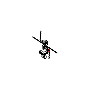 CCCCCCCCCCCCC(CCCCCCCCCC)Cc1cc(-c2cc3c(cc(-c4cc(CC(CCCCCCCCCC)CCCCCCCCCCCC)c(-c5ccc(-c6ccc(-c7cc(C(=O)OC)c(-c8ccc(-c9ccc(C)s9)s8)s7)s6)s5)s4)c4nsnc43)c3nsnc23)sc1C